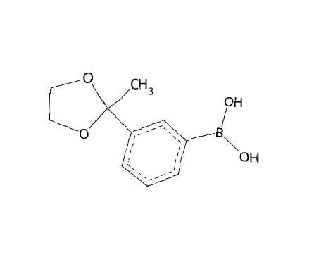 CC1(c2cccc(B(O)O)c2)OCCO1